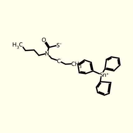 CCCCN(CCCC)C(=O)[S-].c1cc[c]([Sn+]([c]2ccccc2)[c]2ccccc2)cc1